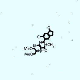 CCc1nc(-c2cc3c(cc2Cl)C(=O)CC3)n(C)c(=O)c1NC(COC)COC